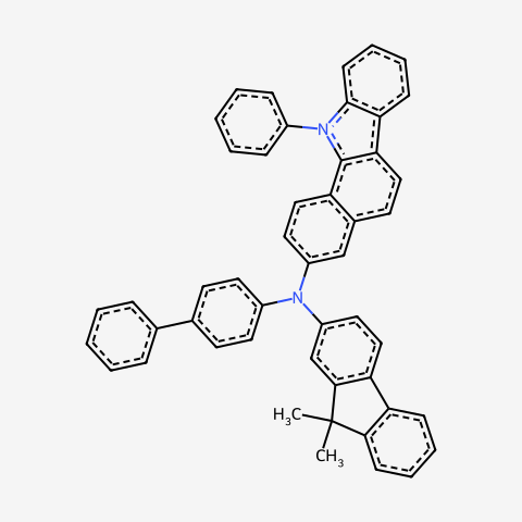 CC1(C)c2ccccc2-c2ccc(N(c3ccc(-c4ccccc4)cc3)c3ccc4c(ccc5c6ccccc6n(-c6ccccc6)c45)c3)cc21